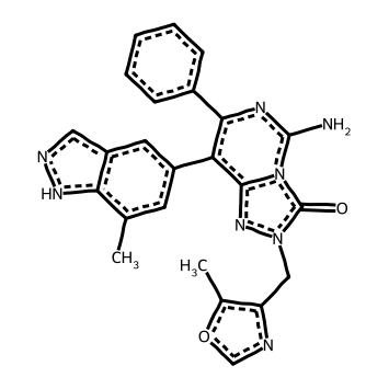 Cc1ocnc1Cn1nc2c(-c3cc(C)c4[nH]ncc4c3)c(-c3ccccc3)nc(N)n2c1=O